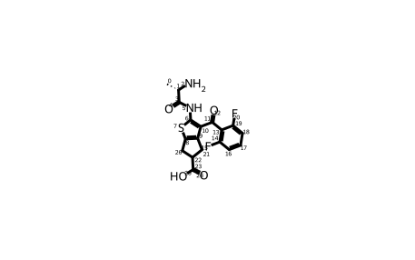 C[C@H](N)C(=O)Nc1sc2c(c1C(=O)c1c(F)cccc1F)CC(C(=O)O)C2